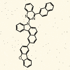 c1ccc2cc(-c3nc(-n4c5ccccc5c5c6cc(-c7ccc8oc9ccccc9c8c7)ccc6ccc54)nc4ccccc34)ccc2c1